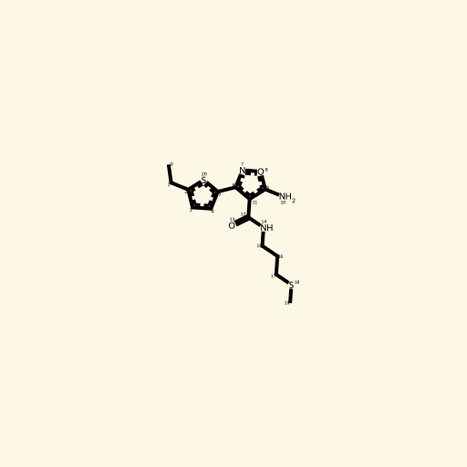 CCc1ccc(-c2noc(N)c2C(=O)NCCCSC)s1